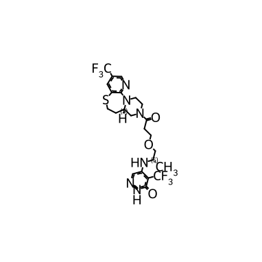 C[C@@H](COCCC(=O)N1CCN2c3ncc(C(F)(F)F)cc3SCC[C@H]2C1)Nc1cn[nH]c(=O)c1C(F)(F)F